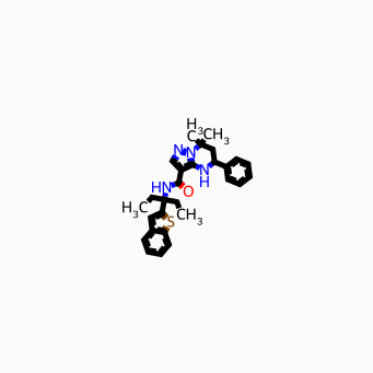 CCC(CC)(NC(=O)c1cnn2c1NC(c1ccccc1)CC2(C)C)c1cc2ccccc2s1